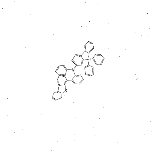 c1ccc(N(c2ccc3c(c2)C(c2ccccc2)(c2ccccc2)c2ccccc2-3)c2ccccc2-c2cccc3c2sc2ccccc23)cc1